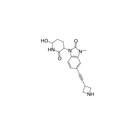 Cn1c(=O)n(C2CCC(O)NC2=O)c2ccc(C#CC3CNC3)cc21